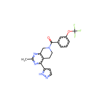 Cc1nc2c(c(-c3ccn[nH]3)n1)CCN(C(=O)c1cccc(OC(F)(F)F)c1)C2